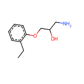 CCc1ccccc1OCC(O)CN